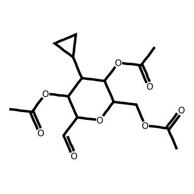 CC(=O)OCC1OC(C=O)C(OC(C)=O)C(C2CC2)C1OC(C)=O